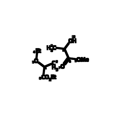 CCOC(=O)C(C)OCC.COC(=O)C(C)O